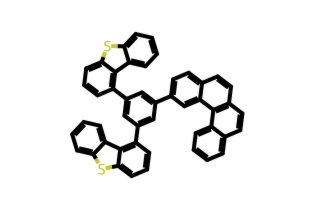 c1ccc2c(c1)ccc1ccc3ccc(-c4cc(-c5cccc6sc7ccccc7c56)cc(-c5cccc6sc7ccccc7c56)c4)cc3c12